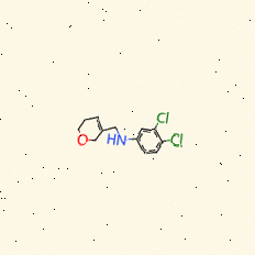 Clc1ccc(NCC2=CCCOC2)cc1Cl